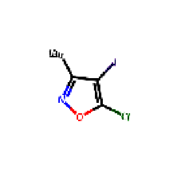 CC(C)(C)c1noc(Cl)c1I